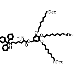 CCCCCCCCCCCCCCCCCCOc1cc(COC(=O)C(N)CCCCNC(c2ccccc2)(c2ccccc2)c2ccccc2)cc(OCCCCCCCCCCCCCCCCCC)c1OCCCCCCCCCCCCCCCCCC